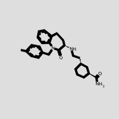 Cc1ccc(CN2C(=O)[C@@H](NCC[C@H]3CCC[C@H](C(N)=O)C3)CCc3ccccc32)cc1